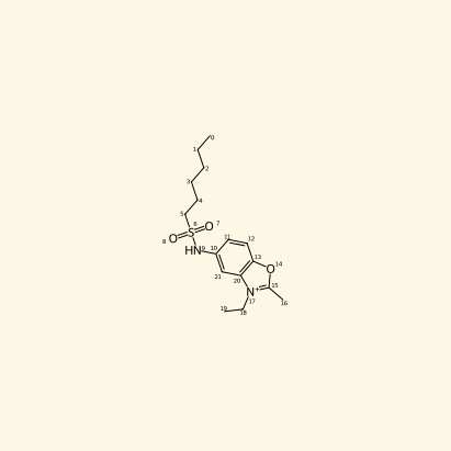 CCCCCCS(=O)(=O)Nc1ccc2oc(C)[n+](CC)c2c1